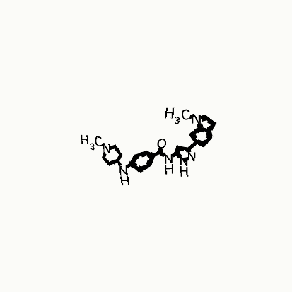 CN1CCC(Nc2ccc(C(=O)Nc3cc(-c4ccc5ccn(C)c5c4)n[nH]3)cc2)CC1